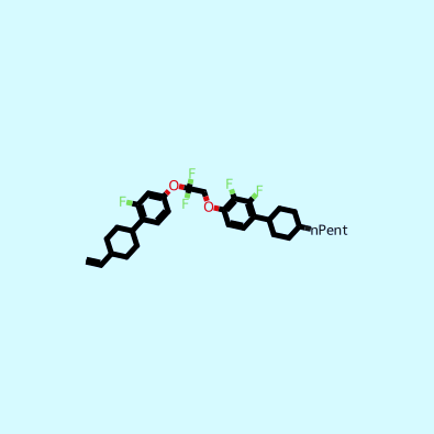 C=CC1CCC(c2ccc(OC(F)(F)COc3ccc(C4CCC(CCCCC)CC4)c(F)c3F)cc2F)CC1